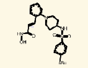 CCCCc1ccc(S(=O)(=O)NC2CCN(c3ccccc3/C=C/C(=O)NO)CC2)cc1